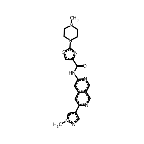 CN1CCN(c2nc(C(=O)Nc3cc4cc(-c5cnn(C)c5)ncc4cn3)cs2)CC1